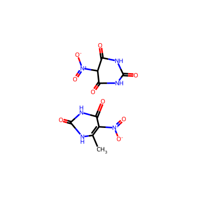 Cc1[nH]c(=O)[nH]c(=O)c1[N+](=O)[O-].O=C1NC(=O)C([N+](=O)[O-])C(=O)N1